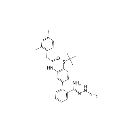 Cc1ccc(CC(=O)Nc2cc(-c3ccccc3/C(N)=N/NN)ccc2SC(C)(C)C)c(C)c1